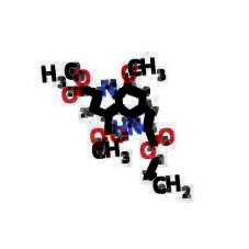 C=CCOC(=O)c1cc2cc(OC)c3nc(C(=O)OC)cc(C(=O)OC)c3c2[nH]1